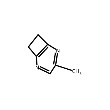 Cc1cnc2c(n1)CC2